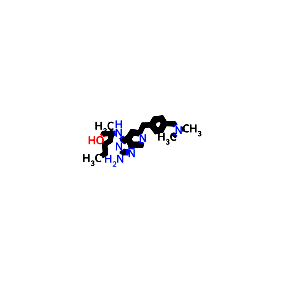 CCCC[C@](C)(CO)Nc1nc(N)nc2cnc(Cc3ccc(CN(C)C)cc3)cc12